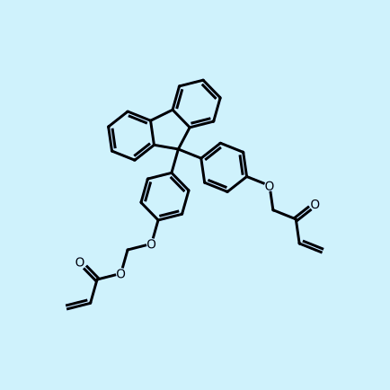 C=CC(=O)COc1ccc(C2(c3ccc(OCOC(=O)C=C)cc3)c3ccccc3-c3ccccc32)cc1